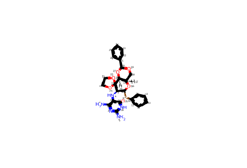 Nc1nc(N)c(N[C@@H]2[C@H](Sc3ccccc3)O[C@@H]3COC(c4ccccc4)O[C@@H]3C23OCCO3)c(=O)[nH]1